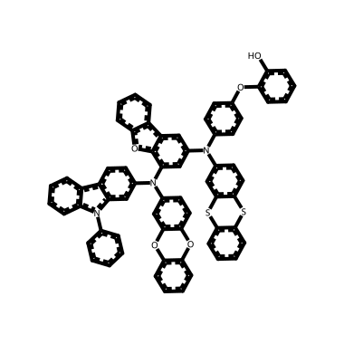 Oc1ccccc1Oc1ccc(N(c2ccc3c(c2)Sc2ccccc2S3)c2cc(N(c3ccc4c(c3)Oc3ccccc3O4)c3ccc4c5ccccc5n(-c5ccccc5)c4c3)c3oc4ccccc4c3c2)cc1